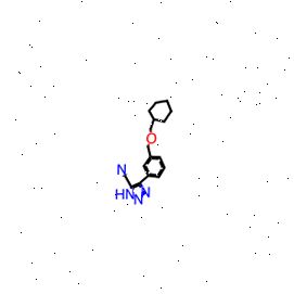 N#Cc1[nH]nnc1-c1cccc(COCC2CCCCC2)c1